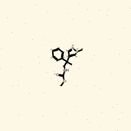 COC(=O)NCC(C)(c1ccccc1)c1cnn(C)c1